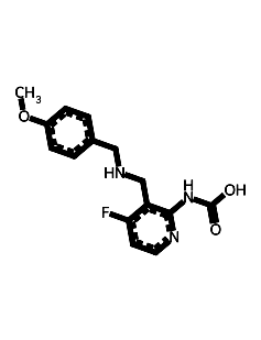 COc1ccc(CNCc2c(F)ccnc2NC(=O)O)cc1